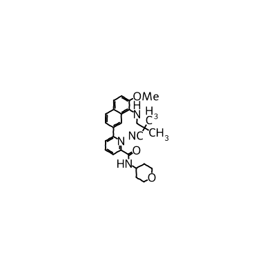 COc1ccc2ccc(-c3cccc(C(=O)NC4CCOCC4)n3)cc2c1NCC(C)(C)C#N